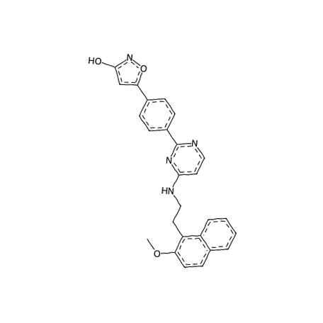 COc1ccc2ccccc2c1CCNc1ccnc(-c2ccc(-c3cc(O)no3)cc2)n1